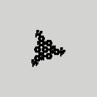 FC(F)(F)c1ccc2nc(-c3cc(-c4nc5ccc(C(F)(F)F)cc5nc4-c4ccccc4)cc(-c4nc5ccc(C(F)(F)F)cc5nc4-c4ccccc4)c3)c(-c3ccccc3)nc2c1